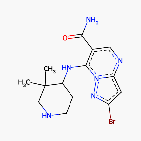 CC1(C)CNCCC1Nc1c(C(N)=O)cnc2cc(Br)nn12